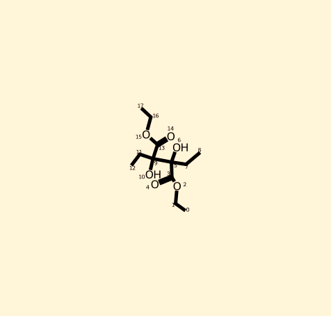 CCOC(=O)C(O)(CC)C(O)(CC)C(=O)OCC